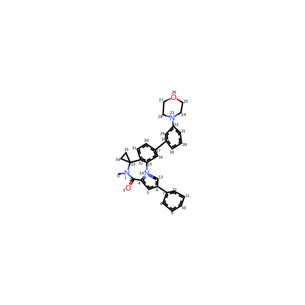 CN1C(=O)c2cc(-c3ccccc3)cn2-c2cc(-c3cccc(N4CCOCC4)c3)ccc2C12CC2